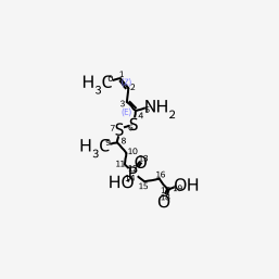 C/C=C\C=C(/N)SSC(C)CCP(=O)(O)CCC(=O)O